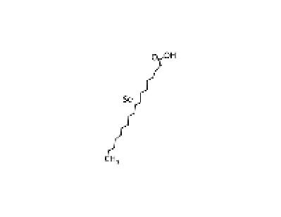 CCCCCCCCCCCCCCCCCC(=O)O.[Sc]